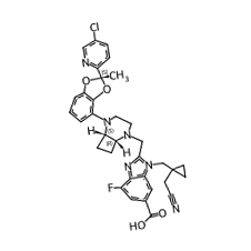 C[C@]1(c2ccc(Cl)cn2)Oc2cccc(N3CCN(Cc4nc5c(F)cc(C(=O)O)cc5n4CC4(CC#N)CC4)[C@@H]4CC[C@@H]43)c2O1